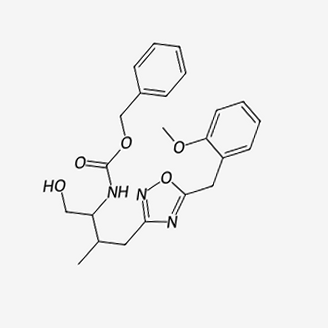 COc1ccccc1Cc1nc(CC(C)C(CO)NC(=O)OCc2ccccc2)no1